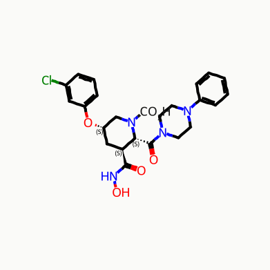 O=C(NO)[C@H]1C[C@H](Oc2cccc(Cl)c2)CN(C(=O)O)[C@@H]1C(=O)N1CCN(c2ccccc2)CC1